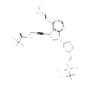 CN(C)/C=N/c1ncnc2c1C(C#CCNC(=O)C(F)(F)F)CN2[C@H]1CC[C@@H](CO[Si](C)(C)C(C)(C)C)O1